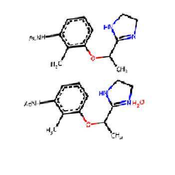 CC(=O)Nc1cccc(OC(C)C2=NCCN2)c1C.CC(=O)Nc1cccc(OC(C)C2=NCCN2)c1C.O